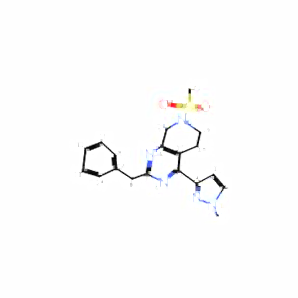 Cn1ccc(-c2nc(Cc3ccccc3)nc3c2CCN(S(C)(=O)=O)C3)n1